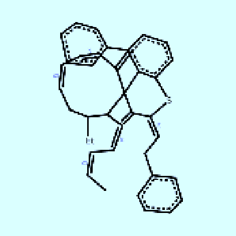 C=C1/C=C\C=C/CC(CC)C(/C=C\C=C/C)C12C(=C)/C(=C\Cc1ccccc1)Sc1cccc(-c3ccccc3)c12